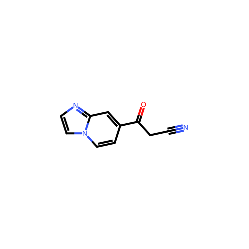 N#CCC(=O)c1ccn2ccnc2c1